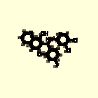 Oc1c(C(Nc2cc(Cl)c(Cl)cn2)c2ccc(F)cc2Cl)ccc2cccnc12